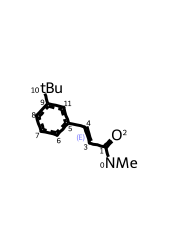 CNC(=O)/C=C/c1cccc(C(C)(C)C)c1